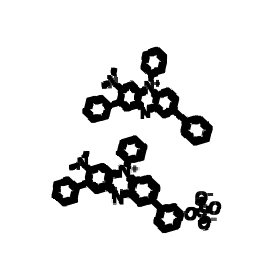 CN(C)c1cc2c(cc1-c1ccccc1)nc1cc(-c3ccccc3)ccc1[n+]2-c1ccccc1.CN(C)c1cc2c(cc1-c1ccccc1)nc1cc(-c3ccccc3)ccc1[n+]2-c1ccccc1.O=S(=O)([O-])[O-]